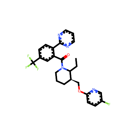 CCC1[C@@H](COc2ccc(F)cn2)CCCN1C(=O)c1cc(C(F)(F)F)ccc1-c1ncccn1